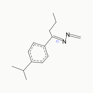 C=N/N=C(\CCC)c1ccc(C(C)C)cc1